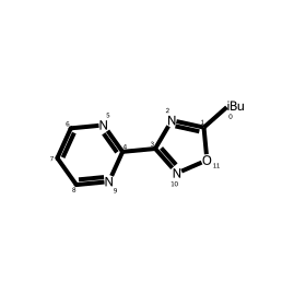 CCC(C)c1nc(-c2ncccn2)no1